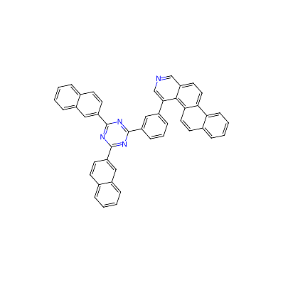 c1cc(-c2nc(-c3ccc4ccccc4c3)nc(-c3ccc4ccccc4c3)n2)cc(-c2cncc3ccc4c5ccccc5ccc4c23)c1